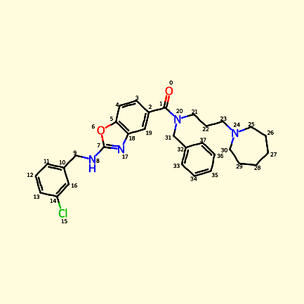 O=C(c1ccc2oc(NCc3cccc(Cl)c3)nc2c1)N(CCCN1CCCCCC1)Cc1ccccc1